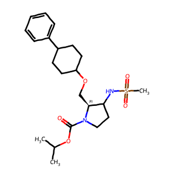 CC(C)OC(=O)N1CCC(NS(C)(=O)=O)[C@@H]1COC1CCC(c2ccccc2)CC1